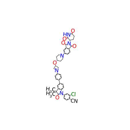 CC1(C)C(=O)N(c2ccc(C#N)c(Cl)c2)c2ccc(-c3ccc(N4CC(OC5CCN(c6ccc7c(c6)C(=O)N(C6CCC(=O)NC6=O)C7=O)CC5)C4)cc3)cc21